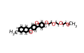 COCCOCCOCCOc1ccc2c(c1)oc1cc3c(cc12)oc1cc2cc(C)ccc2cc13